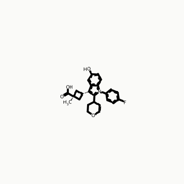 C[C@]1(C(=O)O)C[C@H](c2c(C3CCOCC3)n(-c3ccc(F)cc3)c3ccc(O)cc32)C1